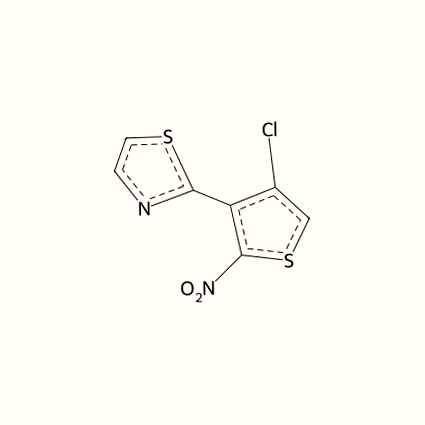 O=[N+]([O-])c1scc(Cl)c1-c1nccs1